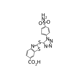 NS(=O)(=O)c1ccc(-n2nnnc2Sc2nc3ccc(C(=O)O)cc3s2)cc1